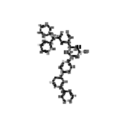 ClC1N=C(c2ccc(-c3cccc(-c4ccccc4)c3)cc2)NC(c2cccc(-n3c4ccccc4c4ccccc43)c2)N1